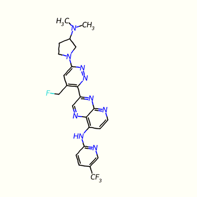 CN(C)C1CCN(c2cc(CF)c(-c3cnc4c(Nc5ccc(C(F)(F)F)cn5)ccnc4n3)nn2)C1